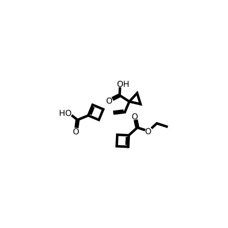 C=CC1(C(=O)O)CC1.CCOC(=O)C1=CCC1.O=C(O)C1=CCC1